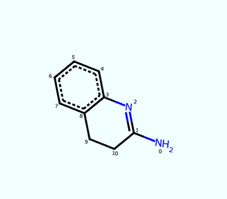 NC1=Nc2ccccc2CC1